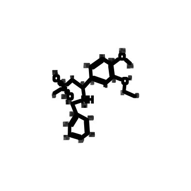 CCOc1cc(C(CS(C)(=O)=O)NCc2ccccc2)ccc1OC